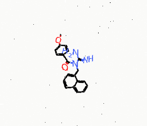 COc1ccc(C(=O)N(Cc2cccc3ccccc23)C(=N)N)cc1